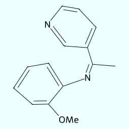 COc1ccccc1N=C(C)c1cccnc1